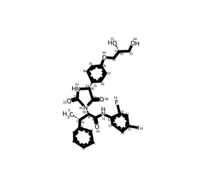 C[C@@H](c1ccccc1)[C@@H](C(=O)Nc1ccc(I)cc1F)N1C(=O)N[C@H](c2ccc(OC[C@H](O)CO)cc2)C1=O